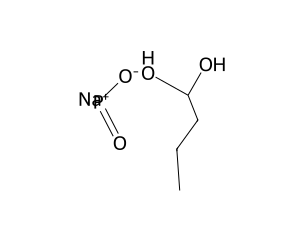 CCCC(O)O.O=P[O-].[Na+]